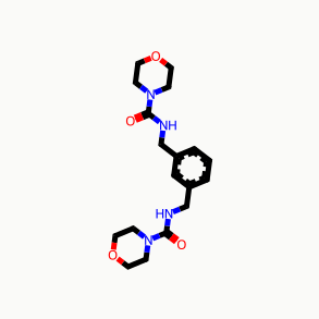 O=C(NCc1cccc(CNC(=O)N2CCOCC2)c1)N1CCOCC1